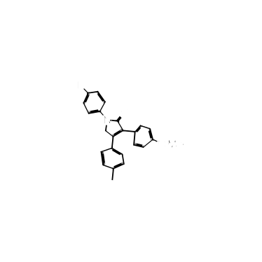 COc1ccc(C2=C(c3ccc(C)cc3)CN(c3ccc(F)cc3)C2=O)cc1